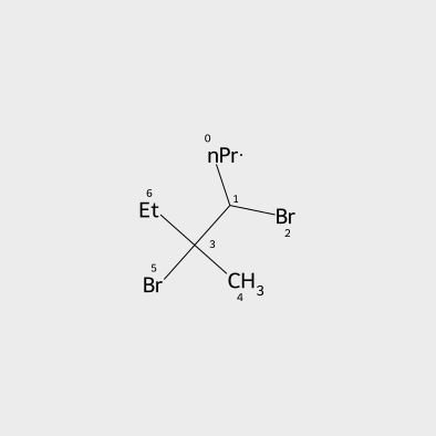 CC[CH]C(Br)C(C)(Br)CC